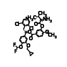 COc1ccc(C(=O)O[C@@H](Cc2c(Cl)cncc2Cl)c2ccc(OC(F)F)c(OCC3CC3)c2)cc1OC(=O)[C@@H](N)C(C)C